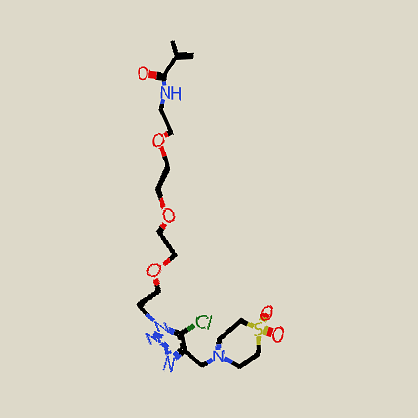 C=C(C)C(=O)NCCOCCOCCOCCn1nnc(CN2CCS(=O)(=O)CC2)c1Cl